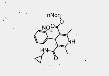 CCCCCCCCCOC(=O)C1=C(C)NC(C)=C(C(=O)NC2CC2)C1c1ccccc1[N+](=O)[O-]